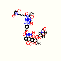 CC(=O)[C@@H]1Cc2c(O)c3c(c(O)c2C(O[C@H]2C[C@H]4[C@H](O[C@@H]5COCCN54)[C@H](C)O2)C1)C(=O)c1c(NC(=O)OCc2ccc(NC(=O)[C@H](C)NC(=O)[C@@H](NC(=O)CCCCCN4C(=O)C=CC4=O)C(C)C)cc2)cccc1C3=O